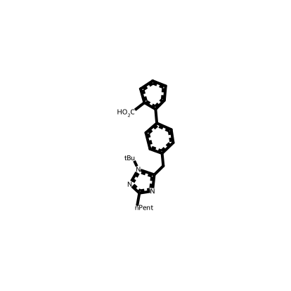 CCCCCc1nc(Cc2ccc(-c3ccccc3C(=O)O)cc2)n(C(C)(C)C)n1